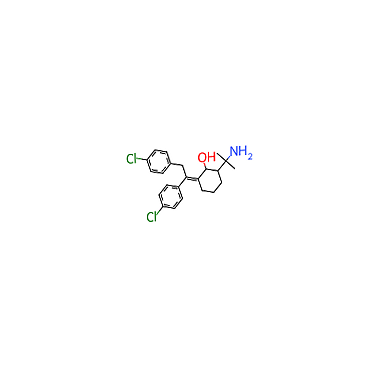 CC(C)(N)C1CCCC(=C(Cc2ccc(Cl)cc2)c2ccc(Cl)cc2)C1O